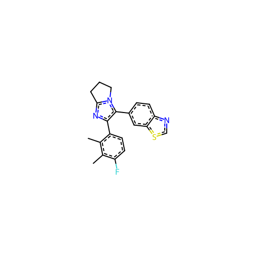 Cc1c(F)ccc(-c2nc3n(c2-c2ccc4ncsc4c2)CCC3)c1C